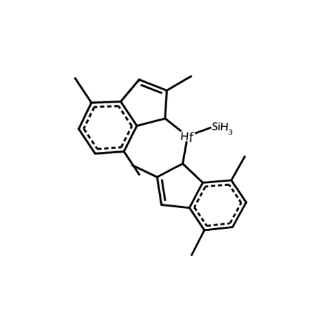 CC1=Cc2c(C)ccc(C)c2[CH]1[Hf]([SiH3])[CH]1C(C)=Cc2c(C)ccc(C)c21